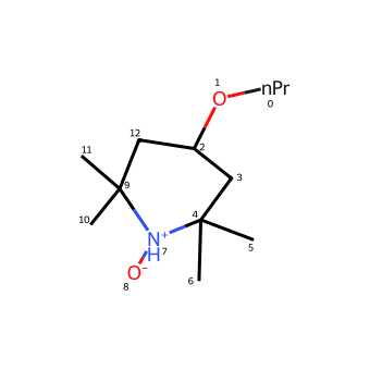 CCCOC1CC(C)(C)[NH+]([O-])C(C)(C)C1